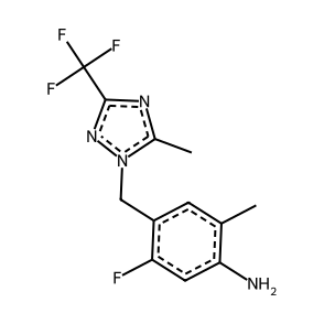 Cc1cc(Cn2nc(C(F)(F)F)nc2C)c(F)cc1N